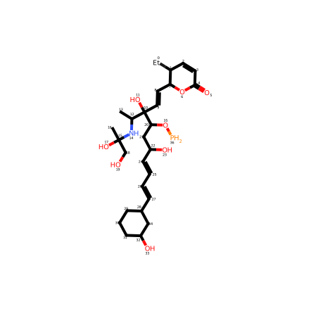 CCC1C=CC(=O)OC1C=CC(O)(C(C)NC(C)(O)CO)C(CC(O)C=CC=CC1CCCC(O)C1)OP